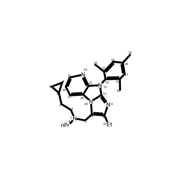 CCCN(CCC1CC1)Cc1c(CC)nc2n(-c3c(C)cc(C)cc3C)c3ncccc3n12